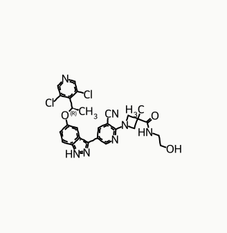 C[C@@H](Oc1ccc2[nH]nc(-c3cnc(N4CC(C)(C(=O)NCCO)C4)c(C#N)c3)c2c1)c1c(Cl)cncc1Cl